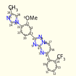 COc1cc(-c2nc3nc(-c4ccccc4C(F)(F)F)ccn3n2)ccc1-n1cnc(C)c1